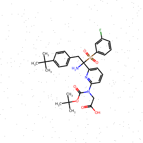 CC(C)(C)OC(=O)N(CC(=O)O)c1cccc(C(N)(Cc2ccc(C(C)(C)C)cc2)S(=O)(=O)c2cccc(F)c2)n1